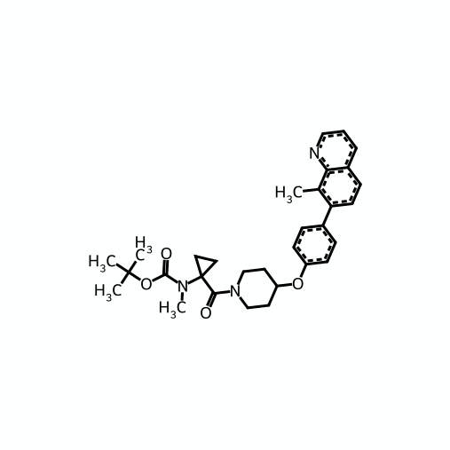 Cc1c(-c2ccc(OC3CCN(C(=O)C4(N(C)C(=O)OC(C)(C)C)CC4)CC3)cc2)ccc2cccnc12